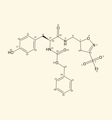 CCS(=O)(=O)C1=NOC(CNC(=O)[C@H](Cc2ccc(O)cc2)NC(=O)OCc2ccccc2)C1